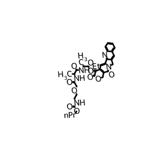 CCCOC(=O)NCCOCC(=O)NC(C)C(=O)NC(C)C(=O)O[C@]1(CC)C(=O)OCc2c1cc1n(c2=O)Cc2cc3ccccc3nc2-1